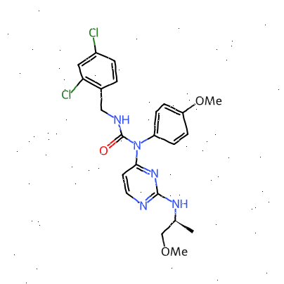 COC[C@H](C)Nc1nccc(N(C(=O)NCc2ccc(Cl)cc2Cl)c2ccc(OC)cc2)n1